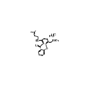 CNCc1ccc(NCCN(C)C)c2c(=O)c3ccccc3sc12.Cl.Cl